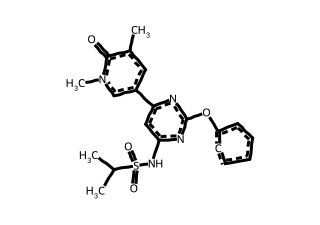 Cc1cc(-c2cc(NS(=O)(=O)C(C)C)nc(Oc3ccccc3)n2)cn(C)c1=O